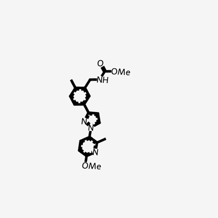 COC(=O)NCc1cc(-c2ccn(-c3ccc(OC)nc3C)n2)ccc1C